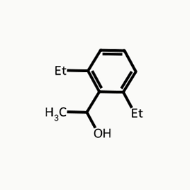 CCc1cccc(CC)c1C(C)O